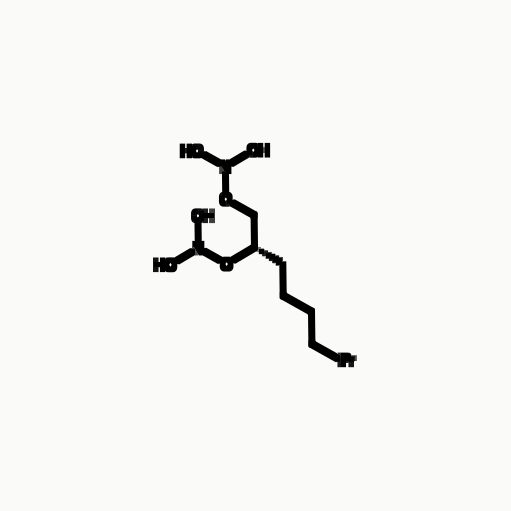 CC(C)CCCC[C@@H](CON(O)O)ON(O)O